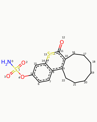 NS(=O)(=O)Oc1ccc2c3c(c(=O)sc2c1)CCCCCCC3